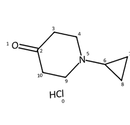 Cl.O=C1CCN(C2CC2)CC1